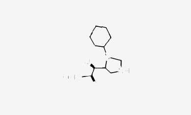 O=CC(=O)C(=O)C1CNCN1C1CCCCC1